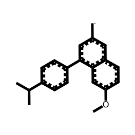 [CH2]c1cc(-c2ccc(C(C)C)cc2)c2cc(OC)ccc2c1